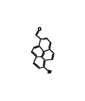 O=Cc1ccc2ccc3c(Br)ccc4ccc1c2c43